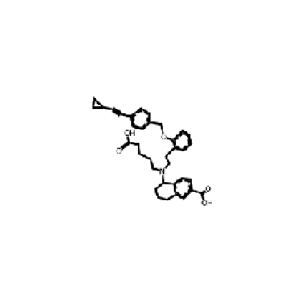 O=C(O)CCCCN(CCc1ccccc1OCc1ccc(C#CC2CC2)cc1)C1CCCc2cc(C(=O)O)ccc21